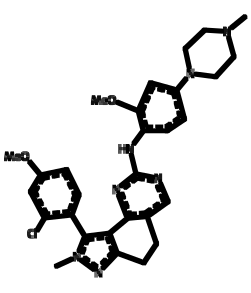 COc1ccc(-c2c3c(nn2C)CCc2cnc(Nc4ccc(N5CCN(C)CC5)cc4OC)nc2-3)c(Cl)c1